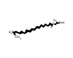 CC(C)CCCCCCCCCCCCCCCC(=O)OCC(O)CO